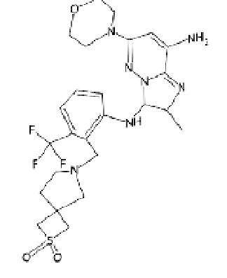 CC1N=C2C(N)=CC(N3CCOCC3)=NN2C1Nc1cccc(C(F)(F)F)c1CN1CCC2(C1)CS(=O)(=O)C2